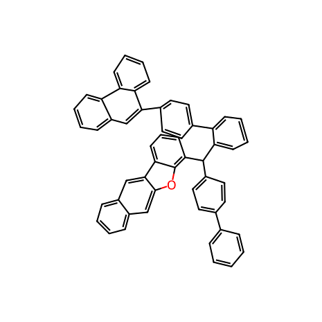 c1ccc(-c2ccc(C(c3ccccc3-c3ccc(-c4cc5ccccc5c5ccccc45)cc3)c3cccc4c3oc3cc5ccccc5cc34)cc2)cc1